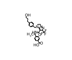 C[C@H](NC(=O)c1c(C(F)(F)F)nn2c1N(Cc1ccc(CCCO)cc1)CC2)c1ccc(C(=O)O)cc1